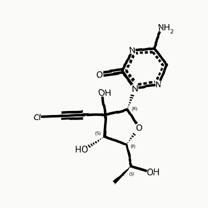 C[C@H](O)[C@H]1O[C@@H](n2ncc(N)nc2=O)C(O)(C#CCl)[C@H]1O